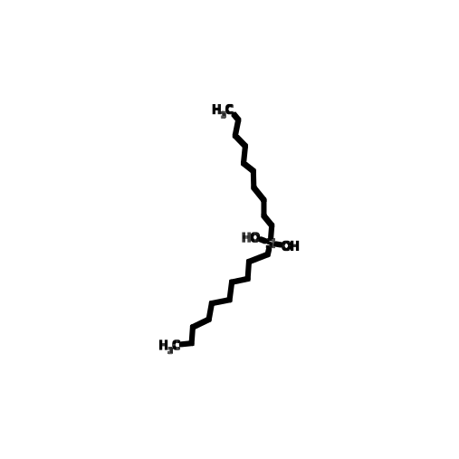 CCCCCCCCCC[Si](O)(O)CCCCCCCCCC